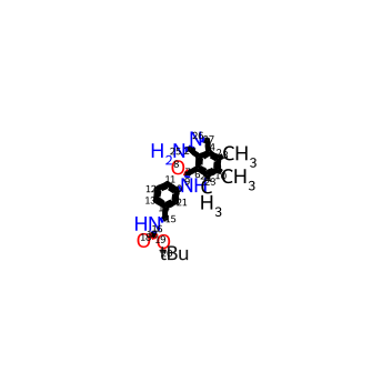 Cc1c(C)c2c(c(C(=O)Nc3cccc(CNC(=O)OC(C)(C)C)c3)c1C)C(N)=NC2